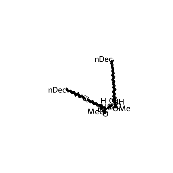 CCCCCCCCCCCCCCCCCCCCCCCCCCCCCC(=O)N[C@@H](CSSC[C@H](NC(=O)CCCCCCCCCCCCCCCCCCCCCCCCCCCCC)C(=O)OC)C(=O)OC